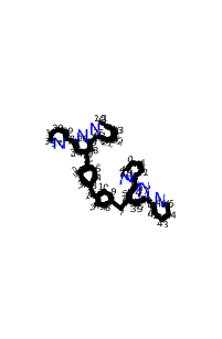 c1ccc(-c2cc(Cc3ccc(Cc4ccc(-c5cc(-c6ccccn6)nc(-c6ccccn6)c5)cc4)cc3)cc(-c3ccccn3)n2)nc1